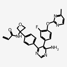 C=CC(=O)NC1(c2ccc(-c3ncnc(N)c3-c3ccc(Oc4nccc(C)n4)c(F)c3)cc2)COC1